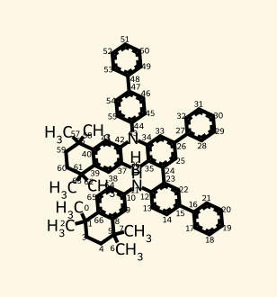 CC1(C)CCC(C)(C)c2cc(Nc3ccc(-c4ccccc4)cc3-c3cc(-c4ccccc4)cc4c3Bc3cc5c(cc3N4c3ccc(-c4ccccc4)cc3)C(C)(C)CCC5(C)C)ccc21